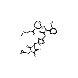 COCCC(=O)N1CCO[C@@H](CN(C(=O)Cc2noc(CN3C(=O)C(=O)N(CC4CC4)C3=O)n2)c2ccccc2OC)C1